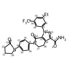 CCc1cc(-n2nc(C(N)=O)c3c2C(=O)N(c2ccc(N4CCCC4=O)cc2)CC3)cc(C(F)(F)F)c1